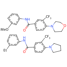 CCc1cccc(NC(=O)c2ccc(N3CCCC3)c(C(F)(F)F)c2)c1.COc1cccc(NC(=O)c2ccc(N3CCOCC3)c(C(F)(F)F)c2)c1